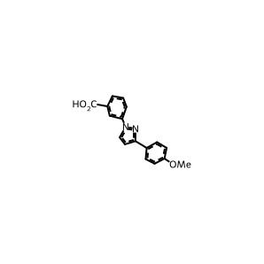 COc1ccc(-c2ccn(-c3cccc(C(=O)O)c3)n2)cc1